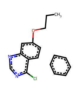 CCCOc1ccc2c(Cl)ncnc2c1.c1ccccc1